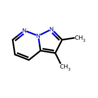 Cc1nn2ncccc2c1C